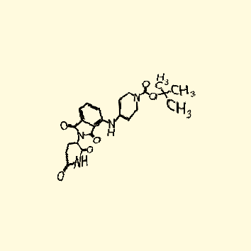 CC(C)(C)OC(=O)N1CCC(Nc2cccc3c2C(=O)N(C2CCC(=O)NC2=O)C3=O)CC1